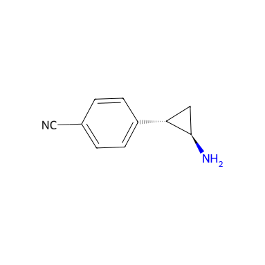 N#Cc1ccc([C@@H]2C[C@H]2N)cc1